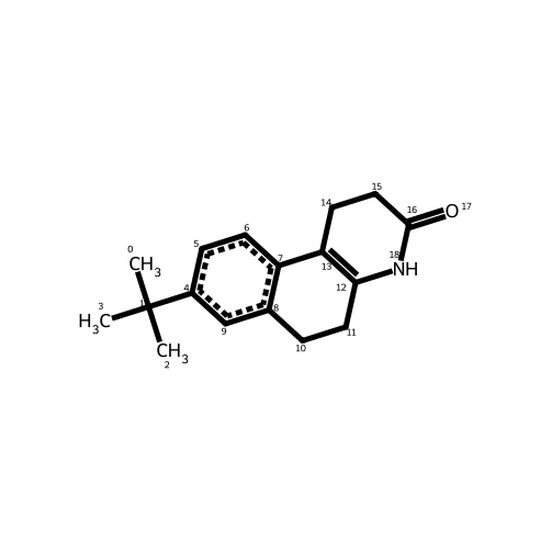 CC(C)(C)c1ccc2c(c1)CCC1=C2CCC(=O)N1